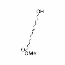 COC(=O)CCCCCCCC=CCCCCCCO